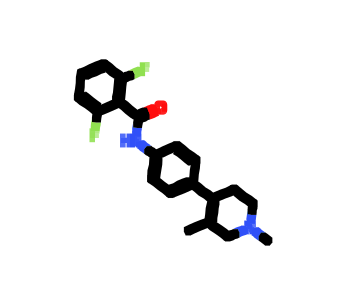 CC1=C(c2ccc(NC(=O)c3c(F)cccc3F)cc2)CCN(C)C1